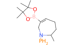 CC1CCC=C(B2OC(C)(C)C(C)(C)O2)CN1P